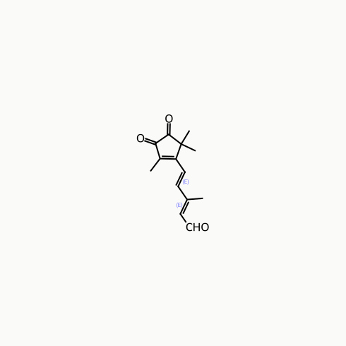 CC1=C(/C=C/C(C)=C/C=O)C(C)(C)C(=O)C1=O